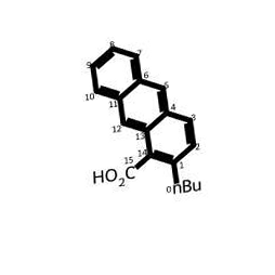 CCCCc1ccc2cc3ccccc3cc2c1C(=O)O